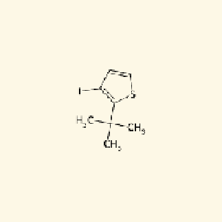 CC(C)(C)c1sccc1I